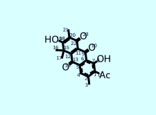 CC(=O)c1c(C)cc2c(c1O)C(=O)C1=C(C2=O)C(C)(C)C(O)=C(C)C1=O